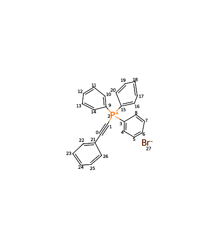 C(#C[P+](c1ccccc1)(c1ccccc1)c1ccccc1)c1ccccc1.[Br-]